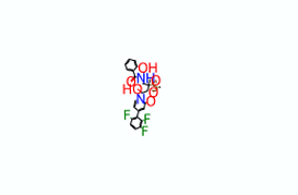 CC(CNC(=O)c1ccccc1O)(CC(O)n1ccc(-c2c(F)ccc(F)c2F)cc1=O)S(C)(=O)=O